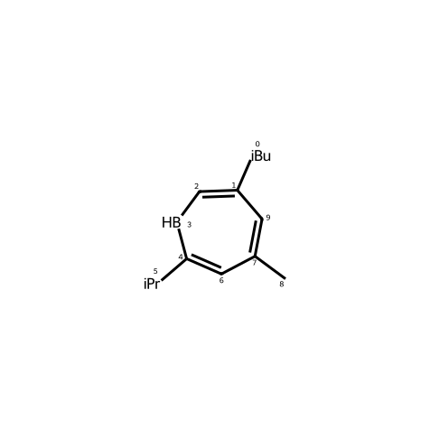 CCC(C)C1=CBC(C(C)C)=CC(C)=C1